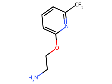 NCCOc1cccc(C(F)(F)F)n1